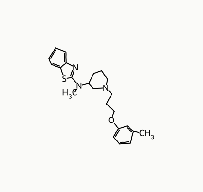 Cc1cccc(OCCCN2CCCC(N(C)c3nc4ccccc4s3)C2)c1